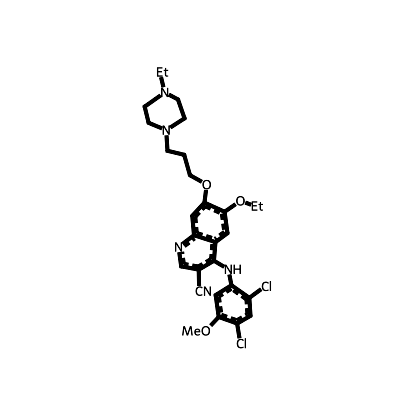 CCOc1cc2c(Nc3cc(OC)c(Cl)cc3Cl)c(C#N)cnc2cc1OCCCN1CCN(CC)CC1